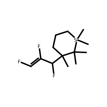 CC1(C(F)C(F)=CF)CCC[Si](C)(C)C1(C)C